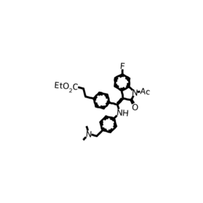 CCOC(=O)CCc1ccc(/C(Nc2ccc(CN(C)C)cc2)=C2/C(=O)N(C(C)=O)c3cc(F)ccc32)cc1